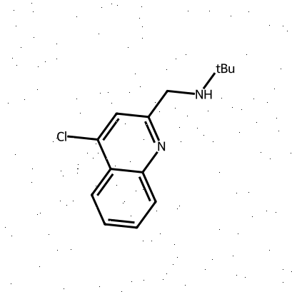 CC(C)(C)NCc1cc(Cl)c2ccccc2n1